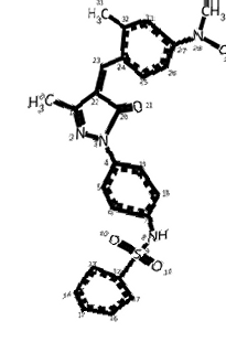 CC1=NN(c2ccc(NS(=O)(=O)c3ccccc3)cc2)C(=O)C1=Cc1ccc(N(C)C)cc1C